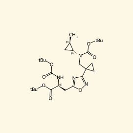 C[C@@H]1C[C@H]1N(CC1(c2noc(C[C@H](NC(=O)OC(C)(C)C)C(=O)OC(C)(C)C)n2)CC1)C(=O)OC(C)(C)C